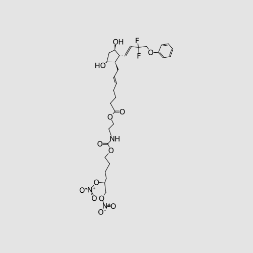 O=C(CCCC=CC[C@@H]1[C@@H](C=CC(F)(F)COc2ccccc2)[C@H](O)C[C@@H]1O)OCCNC(=O)OCCCCC(CO[N+](=O)[O-])O[N+](=O)[O-]